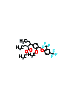 C=CC(c1ccc(COc2ccc(C(F)(F)F)cc2C(F)(F)F)c(OC)c1)C(CC)C(=O)OCC